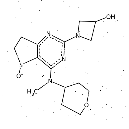 CN(c1nc(N2CC(O)C2)nc2c1[S+]([O-])CC2)C1CCOCC1